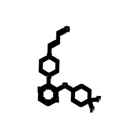 O=CC=CN1CCN(c2nccnc2OC2CCC(F)(F)CC2)CC1